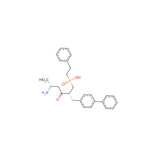 N[C@@H](CC(=O)[C@@H](Cc1ccc(-c2ccccc2)cc1)CP(=O)(O)CCc1ccccc1)C(=O)O